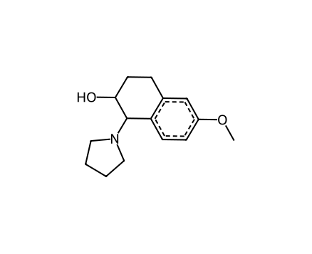 COc1ccc2c(c1)CCC(O)C2N1CCCC1